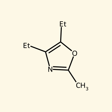 CCc1nc(C)oc1CC